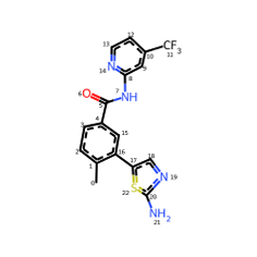 Cc1ccc(C(=O)Nc2cc(C(F)(F)F)ccn2)cc1-c1cnc(N)s1